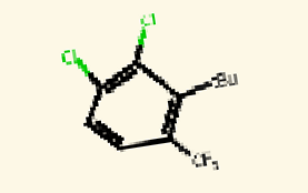 CC(C)(C)c1c(C(F)(F)F)ccc(Cl)c1Cl